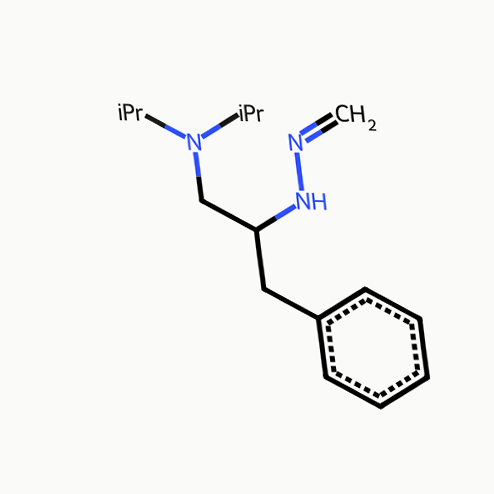 C=NNC(Cc1ccccc1)CN(C(C)C)C(C)C